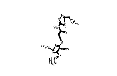 CCc1nnc(NC(=O)CSc2nc(N)nc(SC)c2C#N)s1